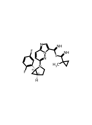 CC1(C(=N)SC(=N)c2cnc3ccc(N4CC[C@H]5C[C@]54c4cc(F)ccc4F)nn23)CC1